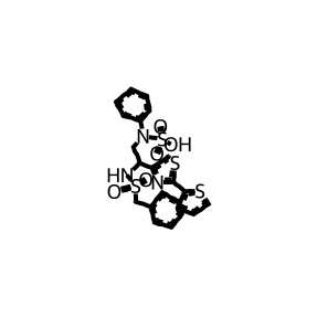 O=S(=O)(Cc1ccccc1)NC(CN(c1ccccc1)S(=O)(=O)O)c1csc(-c2cccs2)n1